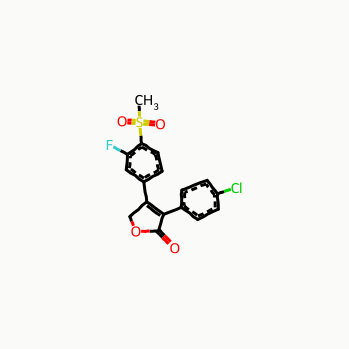 CS(=O)(=O)c1ccc(C2=C(c3ccc(Cl)cc3)C(=O)OC2)cc1F